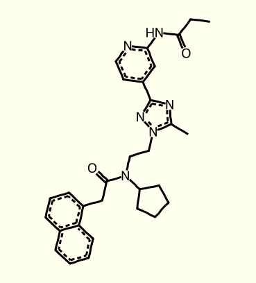 CCC(=O)Nc1cc(-c2nc(C)n(CCN(C(=O)Cc3cccc4ccccc34)C3CCCC3)n2)ccn1